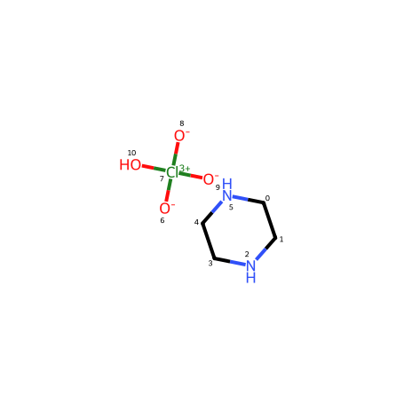 C1CNCCN1.[O-][Cl+3]([O-])([O-])O